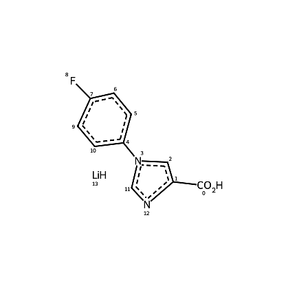 O=C(O)c1cn(-c2ccc(F)cc2)cn1.[LiH]